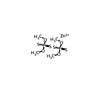 COP(=S)([S-])OC.COP(=S)([S-])OC.[Zn+2]